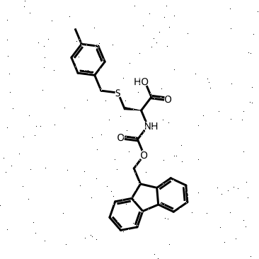 Cc1ccc(CSC[C@H](NC(=O)OCC2c3ccccc3-c3ccccc32)C(=O)O)cc1